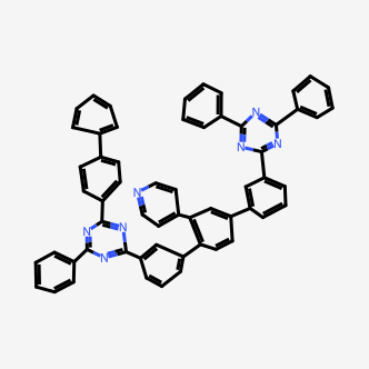 c1ccc(-c2ccc(-c3nc(-c4ccccc4)nc(-c4cccc(-c5ccc(-c6cccc(-c7nc(-c8ccccc8)nc(-c8ccccc8)n7)c6)cc5-c5ccncc5)c4)n3)cc2)cc1